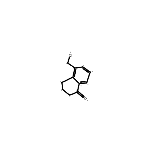 O=C1CCCc2c(CCl)cccc21